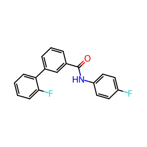 O=C(Nc1ccc(F)cc1)c1cccc(-c2ccccc2F)c1